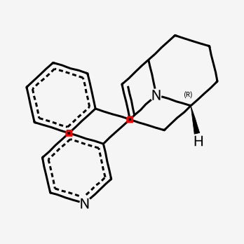 C1=C(c2cccnc2)C[C@H]2CCCC1N2Cc1ccccc1